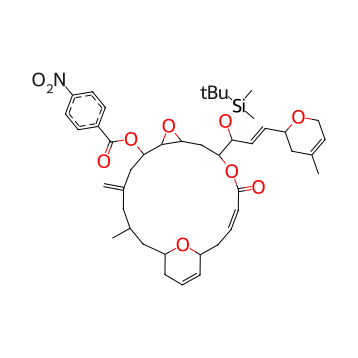 C=C1CC(C)CC2CC=CC(C/C=C\C(=O)OC(C(C=CC3CC(C)=CCO3)O[Si](C)(C)C(C)(C)C)CC3OC3C(OC(=O)c3ccc([N+](=O)[O-])cc3)C1)O2